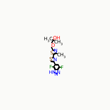 Cc1nc(COCC(C)(C)O)sc1-c1nc(-c2cc(F)c3nn[nH]c3c2F)cs1